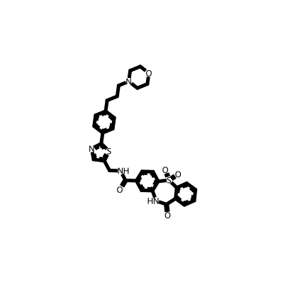 O=C(NCc1cnc(-c2ccc(CCCN3CCOCC3)cc2)s1)c1ccc2c(c1)NC(=O)c1ccccc1S2(=O)=O